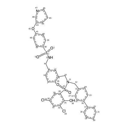 O=S(=O)(NCc1cccc(CN(Cc2ccc(-c3ccccc3)cc2)S(=O)(=O)c2cc(Cl)cc(Cl)c2O)c1)c1ccc(Oc2cccnc2)cc1